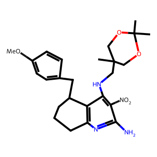 COc1ccc(CC2CCCc3nc(N)c([N+](=O)[O-])c(NCC4(C)COC(C)(C)OC4)c32)cc1